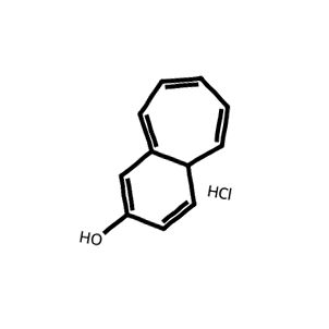 Cl.OC1=CC2=CC=CC=CC2C=C1